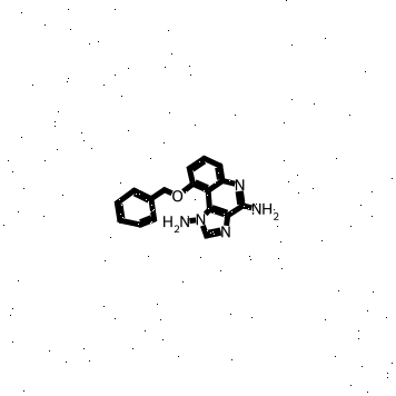 Nc1nc2cccc(OCc3ccccc3)c2c2c1ncn2N